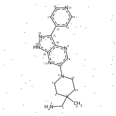 CC1(CN)CCN(c2cnc3c(-c4ccncc4)n[nH]c3n2)CC1